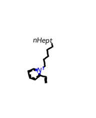 C=Cc1cccc[n+]1CCCCCCCCCCCC